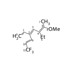 C=CC(=C/C(CC)=C(\C)OC)/C=C/C(F)(F)F